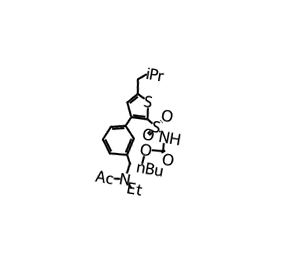 CCCCOC(=O)NS(=O)(=O)c1sc(CC(C)C)cc1-c1cccc(CN(CC)C(C)=O)c1